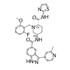 COc1cccc(F)c1CN1C[C@H](NC(=O)c2ccc3[nH]nc(-c4ccnc(C)c4)c3c2)CC[C@H]1C(=O)Nc1nccs1